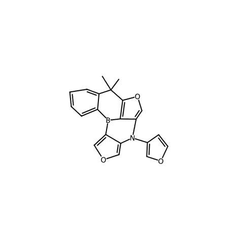 CC1(C)c2ccccc2B2c3cocc3N(c3ccoc3)c3coc1c32